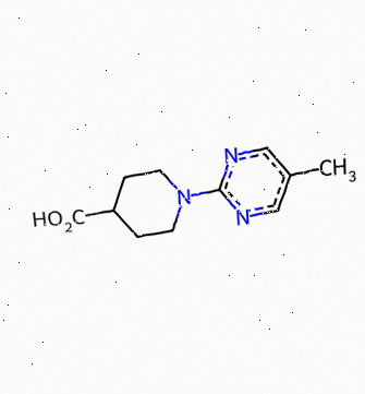 Cc1cnc(N2CCC(C(=O)O)CC2)nc1